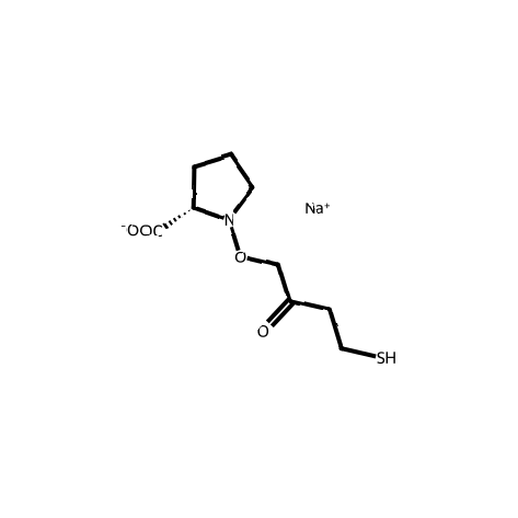 O=C(CCS)CON1CCC[C@H]1C(=O)[O-].[Na+]